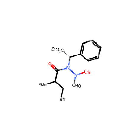 CCCCC(CC(C)C)C(=O)N([C@H](C(=O)OCC)c1ccccc1)N(O)C=O